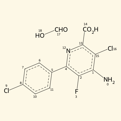 Nc1c(F)c(-c2ccc(Cl)cc2)nc(C(=O)O)c1Cl.O=CO